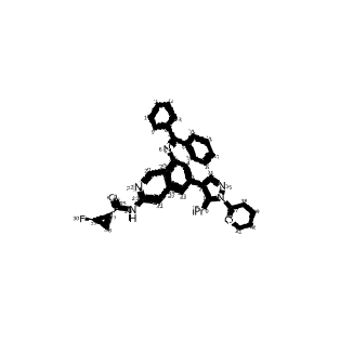 CC(C)c1c(-c2cc(N=C(c3ccccc3)c3ccccc3)c3cnc(NC(=O)[C@@H]4C[C@H]4F)cc3c2)cnn1C1CCCCO1